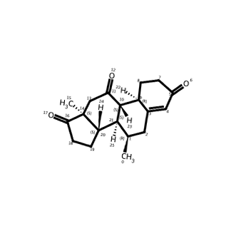 C[C@@H]1CC2=CC(=O)CC[C@@H]2[C@H]2C(=O)C[C@]3(C)C(=O)CC[C@H]3[C@@H]21